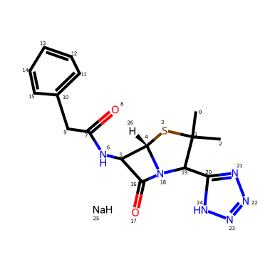 CC1(C)S[C@H]2C(NC(=O)Cc3ccccc3)C(=O)N2C1c1nnn[nH]1.[NaH]